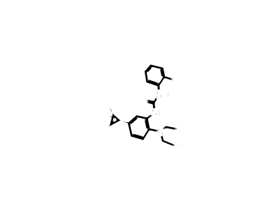 CC(C)CN(CC(C)C)c1ccc([C@H]2C[C@H]2C(=O)O)cc1NC(=O)Nc1ccccc1Cl